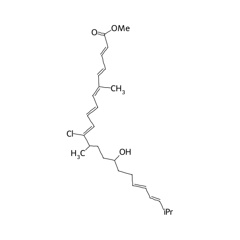 COC(=O)/C=C/C=C/C(C)=C/C=C/C=C(\Cl)C(C)CCC(O)CC/C=C/C=C/C(C)C